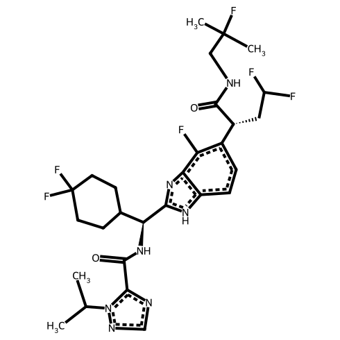 CC(C)n1ncnc1C(=O)N[C@H](c1nc2c(F)c([C@@H](CC(F)F)C(=O)NCC(C)(C)F)ccc2[nH]1)C1CCC(F)(F)CC1